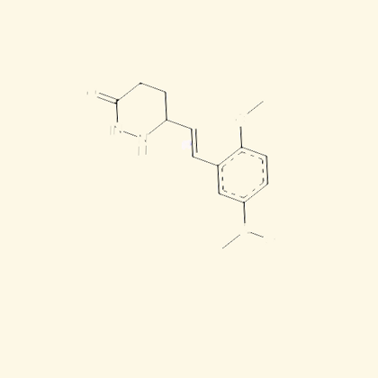 COc1ccc([S+](C)[O-])cc1/C=C/C1CCC(=O)NN1